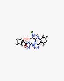 OC1(c2nc(N3C=NC4c5ccccc5N5CN(F)C=C5N43)no2)CCCC1